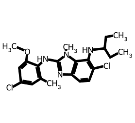 CCC(CC)Nc1c(Cl)ccc2nc(Nc3c(C)cc(Cl)cc3OC)n(C)c12